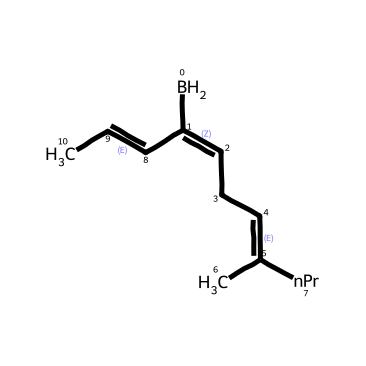 BC(=C/C/C=C(\C)CCC)/C=C/C